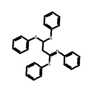 c1ccc(/N=C(/CC(Sc2ccccc2)Sc2ccccc2)Sc2ccccc2)cc1